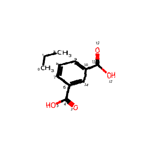 CCC.O=C(O)c1cccc(C(=O)O)c1